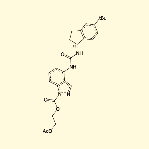 CC(=O)OCCOC(=O)n1ncc2c(NC(=O)N[C@@H]3CCc4cc(C(C)(C)C)ccc43)cccc21